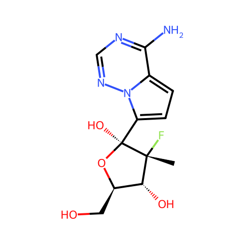 C[C@@]1(F)[C@H](O)[C@@H](CO)O[C@@]1(O)c1ccc2c(N)ncnn12